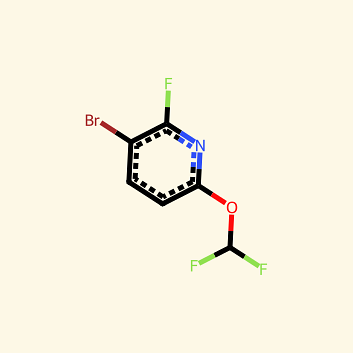 Fc1nc(OC(F)F)ccc1Br